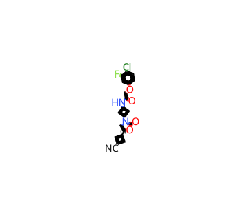 N#CC1CC([C@H]2CN(C3CC(NC(=O)COc4ccc(Cl)c(F)c4)C3)C(=O)O2)C1